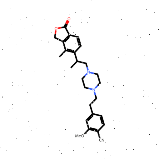 COc1cc(CCN2CCN(CC(C)c3ccc4c(c3C)COC4=O)CC2)ccc1C#N